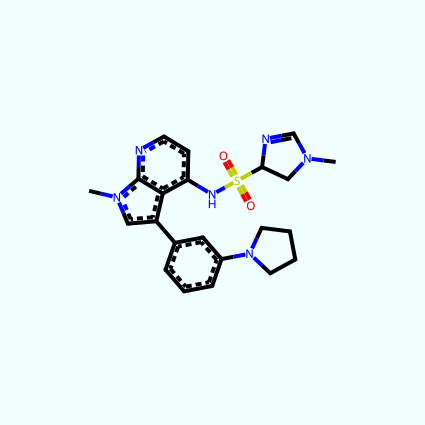 CN1C=NC(S(=O)(=O)Nc2ccnc3c2c(-c2cccc(N4CCCC4)c2)cn3C)C1